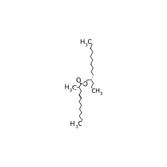 CCCCCCCCCCC(CCC)COC(=O)C(C)CCCCCCCCCC